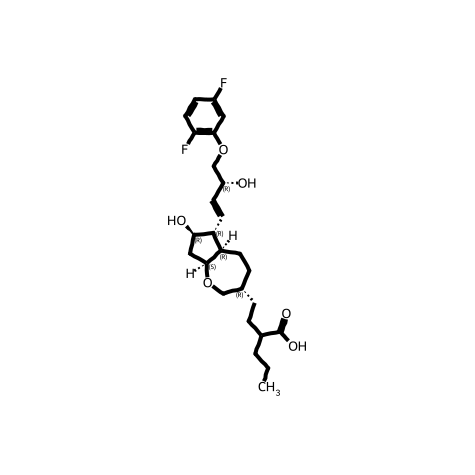 CCCC(CC[C@H]1CC[C@@H]2[C@@H](C=C[C@@H](O)COc3cc(F)ccc3F)[C@H](O)C[C@@H]2OC1)C(=O)O